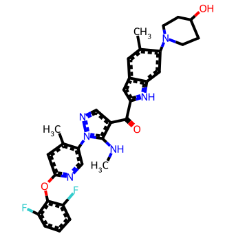 CNc1c(C(=O)c2cc3cc(C)c(N4CCC(O)CC4)cc3[nH]2)cnn1-c1cnc(Oc2c(F)cccc2F)cc1C